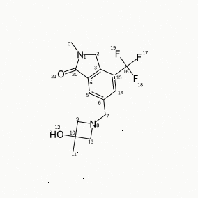 CN1Cc2c(cc(CN3CC(C)(O)C3)cc2C(F)(F)F)C1=O